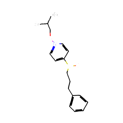 CCCCC(CC)CO[n+]1ccc([S+]([O-])CCCc2ccccc2)cc1